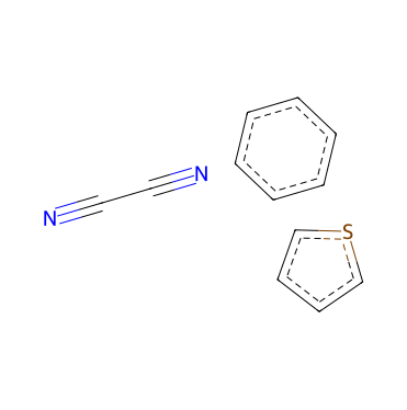 N#CC#N.c1ccccc1.c1ccsc1